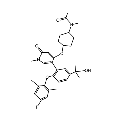 CC(=O)N(C)C1CCC(Oc2cc(=O)n(C)cc2-c2cc(C(C)(C)O)ccc2Oc2c(C)cc(F)cc2C)CC1